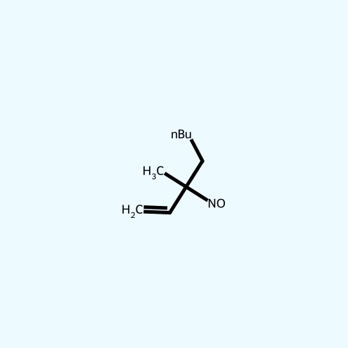 C=CC(C)(CCCCC)N=O